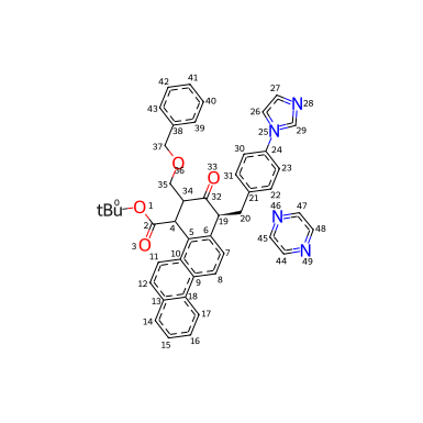 CC(C)(C)OC(=O)C1c2c(ccc3c2ccc2ccccc23)[C@H](Cc2ccc(-n3ccnc3)cc2)C(=O)C1COCc1ccccc1.c1cnccn1